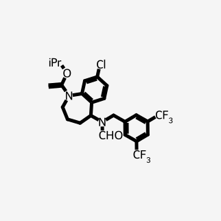 C=C(OC(C)C)N1CCCC(N(C=O)Cc2cc(C(F)(F)F)cc(C(F)(F)F)c2)c2ccc(Cl)cc21